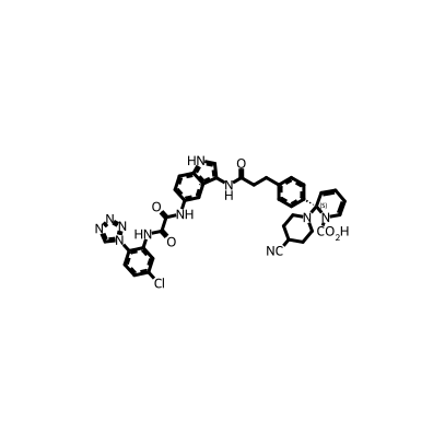 N#CC1CCN([C@@]2(c3ccc(CCC(=O)Nc4c[nH]c5ccc(NC(=O)C(=O)Nc6cc(Cl)ccc6-n6cnnn6)cc45)cc3)C=CC=CN2C(=O)O)CC1